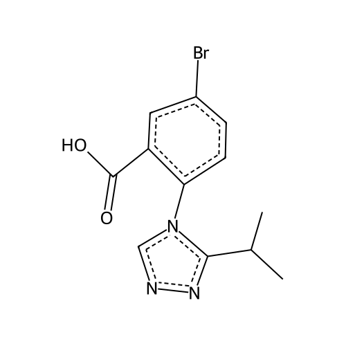 CC(C)c1nncn1-c1ccc(Br)cc1C(=O)O